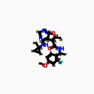 COc1ccc(C(C)NC(=O)c2c(C)oc3ncnc(NC4(C)CC4)c23)c(F)c1